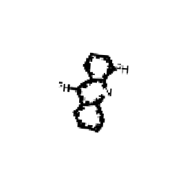 [2H]c1c2ccccc2nc2c([2H])cccc12